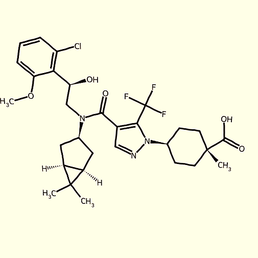 COc1cccc(Cl)c1[C@@H](O)CN(C(=O)c1cnn([C@H]2CC[C@](C)(C(=O)O)CC2)c1C(F)(F)F)[C@H]1C[C@@H]2[C@H](C1)C2(C)C